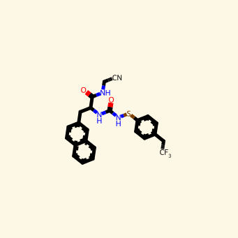 N#CCNC(=O)C(Cc1ccc2ccccc2c1)NC(=O)NSc1ccc(CC(F)(F)F)cc1